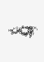 CCn1c(-c2cc(N3CCN(C4CC4)CC3)cnc2[C@H](C)OC)c2c3cc(ccc31)-c1nc(co1)C[C@H](NC(=O)C(C1CCCC1)N1CC[C@]3(CCN(C(=O)[C@@H]4NC4C4CC4)C3)C1)C(=O)N1CCC[C@H](N1)C(=O)OCC(C)(C)C2